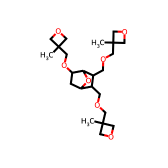 CC1(COCC2C3CC(OCC4(C)COC4)C(O3)C2COCC2(C)COC2)COC1